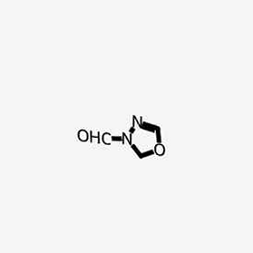 O=CN1COC=N1